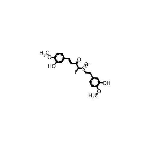 COc1ccc(C=CC(=O)C(I)[S+]([O-])C=Cc2ccc(OC)c(O)c2)cc1O